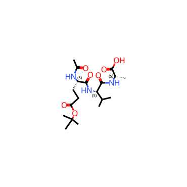 CC(=O)N[C@@H](CCC(=O)OC(C)(C)C)C(=O)N[C@H](C(=O)N[C@@H](C)C(=O)O)C(C)C